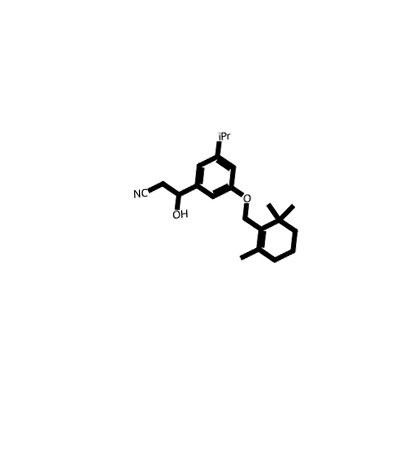 CC1=C(COc2cc(C(C)C)cc(C(O)CC#N)c2)C(C)(C)CCC1